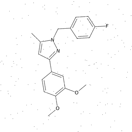 COc1ccc(-c2cc(C)n(Cc3ccc(F)cc3)n2)cc1OC